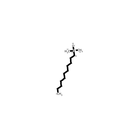 CCCCCCCCCCC[N+](C)(C)[O-]